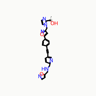 C[C@H](O)c1nccn1Cc1cc(-c2ccc(C#Cc3ccc(CNCc4ccno4)nc3)cc2)on1